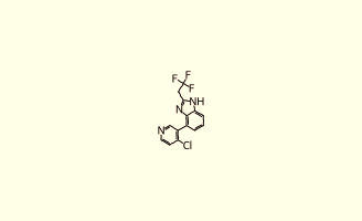 FC(F)(F)Cc1nc2c(-c3cnccc3Cl)cccc2[nH]1